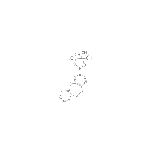 CC1(C)OB(c2ccc3c(c2)Sc2ccccc2C=C3)OC1(C)C